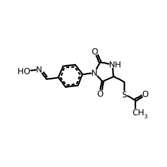 CC(=O)SCC1NC(=O)N(c2ccc(C=NO)cc2)C1=O